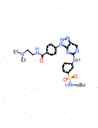 CCCCNS(=O)(=O)c1cccc(Nc2ncc3nnn(-c4ccc(C(=O)NCCN(CC)CC)cc4)c3n2)c1